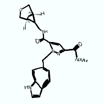 CNC(=O)c1cc(C(=O)NC2[C@H]3COC[C@@H]23)n(Cc2ccc3cc[nH]c3c2)n1